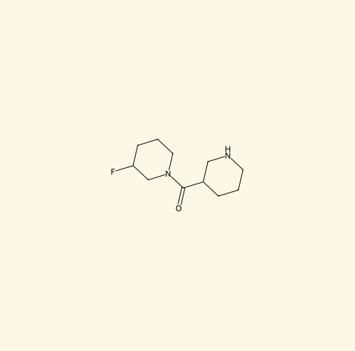 O=C(C1CCCNC1)N1CCCC(F)C1